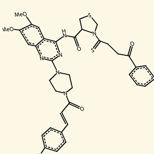 COc1ccc(C=CC(=O)N2CCN(c3nc(NC(=O)C4CSCN4C(=S)CCC(=O)c4ccccc4)c4cc(OC)c(OC)cc4n3)CC2)cc1